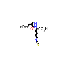 CCCCCCCCCCCC(C)C(=O)NC(CCCCN=C=S)C(=O)O